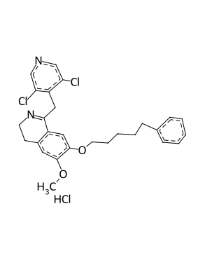 COc1cc2c(cc1OCCCCCc1ccccc1)C(Cc1c(Cl)cncc1Cl)=NCC2.Cl